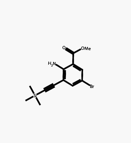 COC(=O)c1cc(Br)cc(C#C[Si](C)(C)C)c1N